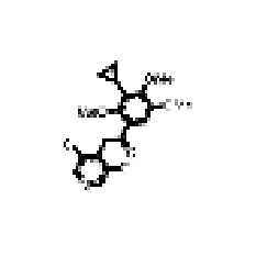 COc1cc(C(=O)Cc2c(Cl)cncc2Cl)c(OC)c(C2CC2)c1OC